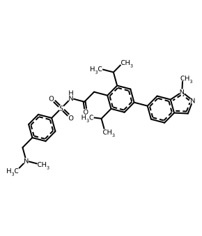 CC(C)c1cc(-c2ccc3cnn(C)c3c2)cc(C(C)C)c1CC(=O)NS(=O)(=O)c1ccc(CN(C)C)cc1